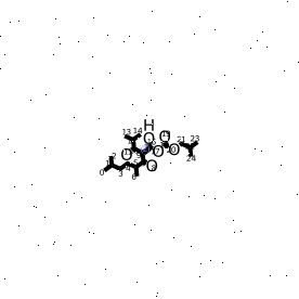 CC(C)CCC(C)C(=O)/C(C(=O)C(C)C)=C(/O)OC(=O)OCC(C)C